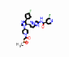 C[S+]([O-])CC(=O)N1CCC(n2cnc(-c3ccc(F)cc3)c2-c2ccc3nc(NC(=O)c4ccnc(F)c4)cn3n2)CC1